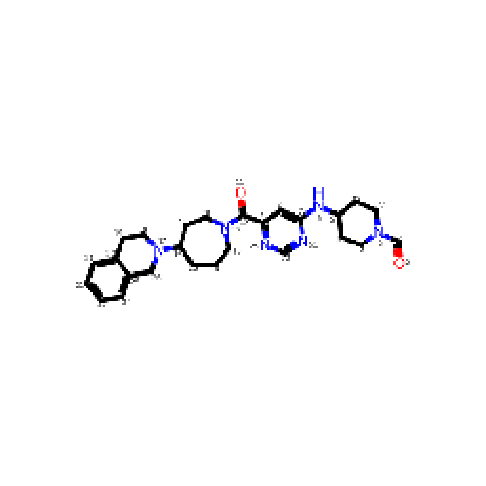 O=CN1CCC(Nc2cc(C(=O)N3CCCC(N4CCc5ccccc5C4)CC3)ncn2)CC1